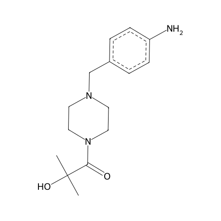 CC(C)(O)C(=O)N1CCN(Cc2ccc(N)cc2)CC1